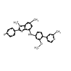 COc1cc(Nc2cc(C)cc3c2nc(-c2ccc(F)cc2)n3C)ccc1-c1ccnc(C)c1